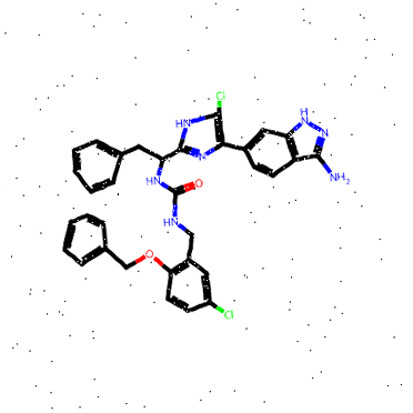 Nc1n[nH]c2cc(-c3nc(C(Cc4ccccc4)NC(=O)NCc4cc(Cl)ccc4OCc4ccccc4)[nH]c3Cl)ccc12